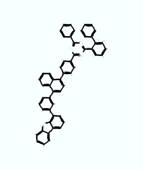 c1ccc(-c2nc(-c3ccc(-c4ccc(-c5cccc(-c6cccc7c6oc6ccccc67)c5)c5ccccc45)cc3)nc(-c3ccccc3-c3ccccc3)n2)cc1